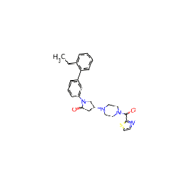 CCc1ccccc1-c1cccc(N2CC(N3CCN(C(=O)c4nccs4)CC3)CC2=O)c1